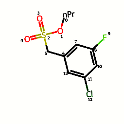 CCCOS(=O)(=O)Cc1cc(F)cc(Cl)c1